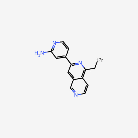 CC(C)Cc1nc(-c2ccnc(N)c2)cc2cnccc12